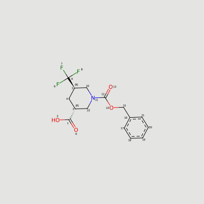 O=C(O)[C@@H]1C[C@@H](C(F)(F)F)CN(C(=O)OCc2ccccc2)C1